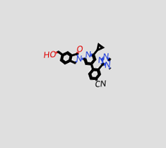 Cn1cnnc1-c1cc(C#N)ccc1-c1cc(C2CC2)nc(N2Cc3ccc(CO)cc3C2=O)c1